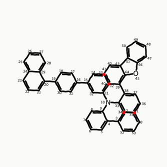 c1ccc(-c2ccccc2N(c2cccc(-c3ccc(-c4cccc5ccccc45)cc3)c2)c2ccccc2-c2cccc3c2oc2ccccc23)cc1